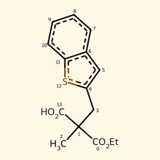 CCOC(=O)C(C)(Cc1cc2ccccc2s1)C(=O)O